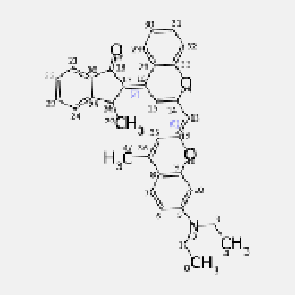 CCN(CC)c1ccc2c(c1)O/C(=C/C1=CC(=C3/C(=O)c4ccccc4C3C)/c3ccccc3O1)C=C2C